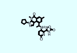 Cc1cc(C(C)Nc2ccc(Cl)nc2-c2noc(=O)[nH]2)c2c(c1)c(=O)n(C)c1c2cnn1C1CCCC1